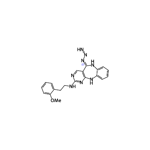 COc1ccccc1CCNc1ncc2c(n1)Nc1ccccc1N/C2=N\N=N